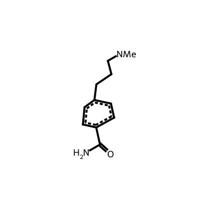 CNCCCc1ccc(C(N)=O)cc1